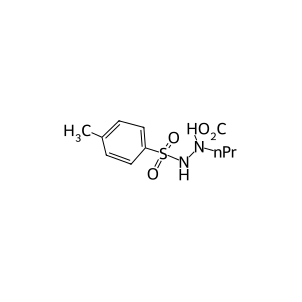 CCCN(NS(=O)(=O)c1ccc(C)cc1)C(=O)O